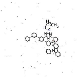 C=C/C=C(\C=C/C)c1nc(-c2ccccc2)nc(-c2cc(-c3cccc(-c4ccccc4)c3)ccc2-c2ccc3c(c2)oc2ccc4c5ccccc5n(-c5ccccc5)c4c23)n1